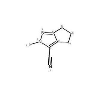 N#Cc1c2c(nn1I)CCC2